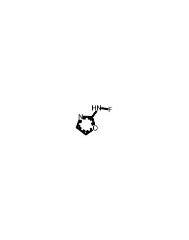 FNc1ncco1